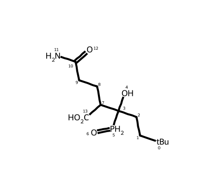 CC(C)(C)CCC(O)([PH2]=O)C(CCC(N)=O)C(=O)O